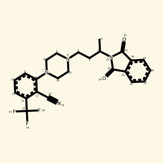 CC(CCN1CCN(c2cccc(C(F)(F)F)c2C#N)CC1)N1C(=O)c2ccccc2C1=O